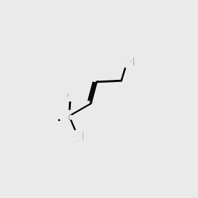 C[Si](Cl)(Cl)C=CCO